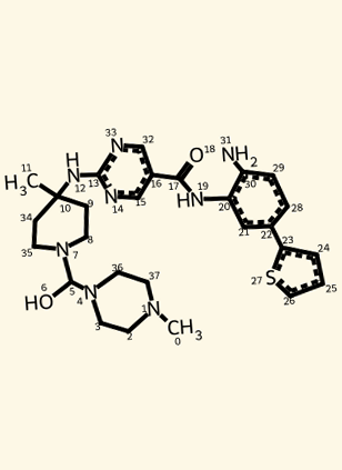 CN1CCN(C(O)N2CCC(C)(Nc3ncc(C(=O)Nc4cc(-c5cccs5)ccc4N)cn3)CC2)CC1